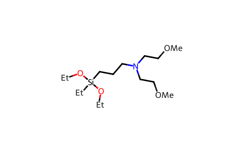 CCO[Si](CC)(CCCN(CCOC)CCOC)OCC